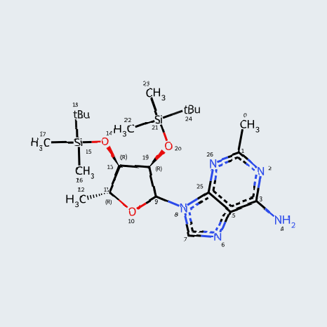 Cc1nc(N)c2ncn(C3O[C@H](C)[C@@H](O[Si](C)(C)C(C)(C)C)[C@H]3O[Si](C)(C)C(C)(C)C)c2n1